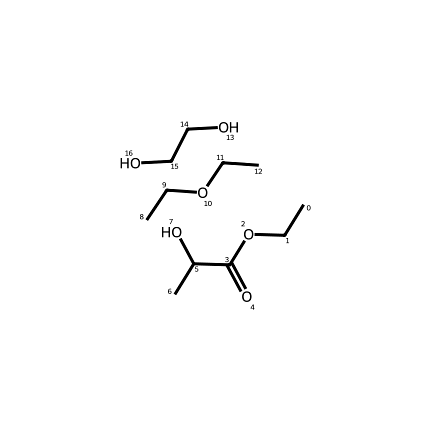 CCOC(=O)C(C)O.CCOCC.OCCO